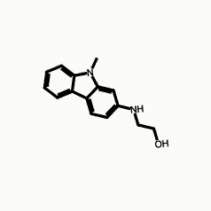 Cn1c2ccccc2c2ccc(NCCO)cc21